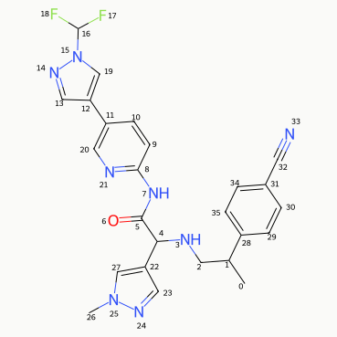 CC(CNC(C(=O)Nc1ccc(-c2cnn(C(F)F)c2)cn1)c1cnn(C)c1)c1ccc(C#N)cc1